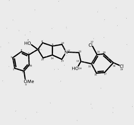 COc1cccc(C2(O)CC3CN(CC(O)c4ccc(Cl)cc4Cl)CC3C2)c1